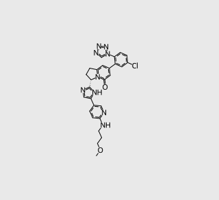 COCCCNc1ccc(-c2cnc([C@@H]3CCc4cc(-c5cc(Cl)ccc5-n5cnnn5)cc(=O)n43)[nH]2)cn1